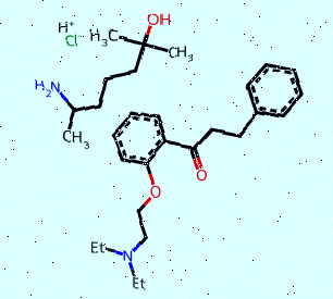 CC(N)CCCC(C)(C)O.CCN(CC)CCOc1ccccc1C(=O)CCc1ccccc1.[Cl-].[H+]